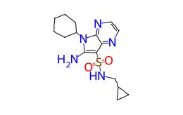 Nc1c(S(=O)(=O)NCC2CC2)c2nccnc2n1C1CCCCC1